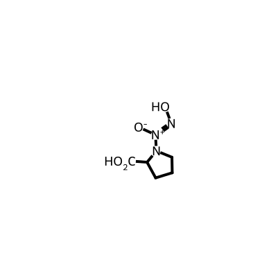 O=C(O)C1CCCN1[N+]([O-])=NO